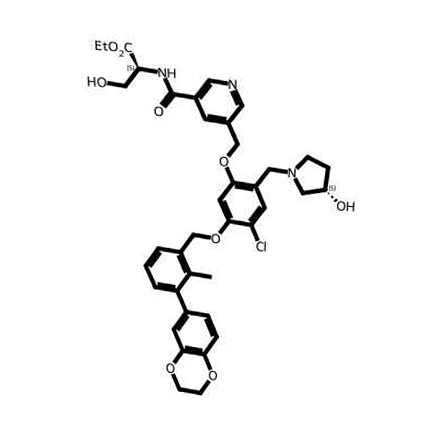 CCOC(=O)[C@H](CO)NC(=O)c1cncc(COc2cc(OCc3cccc(-c4ccc5c(c4)OCCO5)c3C)c(Cl)cc2CN2CC[C@H](O)C2)c1